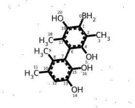 Bc1c(C)c(O)c(-c2c(C)c(C)cc(O)c2O)c(C)c1O